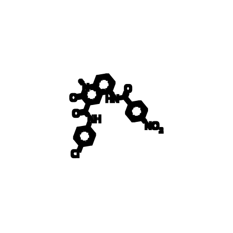 Cn1c(=O)c(C(=O)Nc2ccc(Cl)cc2)cc2c(NC(=O)c3ccc([N+](=O)[O-])cc3)cccc21